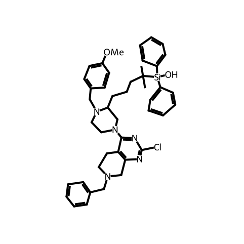 COc1ccc(CN2CCN(c3nc(Cl)nc4c3CCN(Cc3ccccc3)C4)CC2CCCC(C)(C)[Si](O)(c2ccccc2)c2ccccc2)cc1